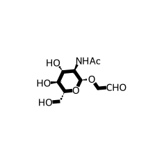 CC(=O)N[C@H]1[C@H](OCC=O)O[C@H](CO)[C@@H](O)[C@@H]1O